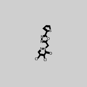 O=c1c(Cl)c(Cl)cnn1Cc1nnc(-c2cccs2)o1